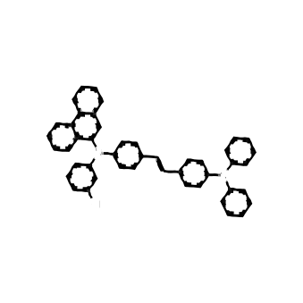 Cc1cccc(N(c2ccc(/C=C/c3ccc(N(c4ccccc4)c4ccccc4)cc3)cc2)c2cc3ccccc3c3ccccc23)c1